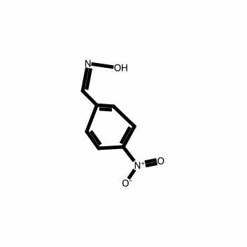 O=[N+]([O-])c1ccc(/C=N\O)cc1